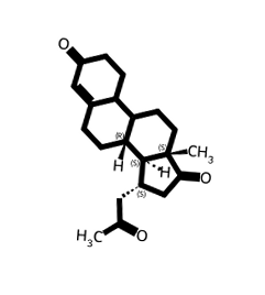 CC(=O)C[C@H]1CC(=O)[C@@]2(C)CCC3C4CCC(=O)C=C4CC[C@H]3[C@H]12